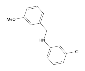 COc1cccc(CNc2cccc(Cl)c2)c1